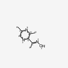 CC(=NO)c1ncc(C)nc1C